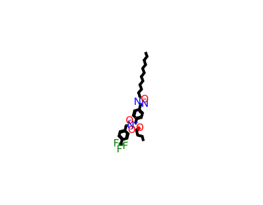 CCCCCCCCCCCc1nc(-c2ccc(C[N+]([O-])(Cc3ccc(C(F)(F)F)cc3)OC(=O)CCC)cc2)no1